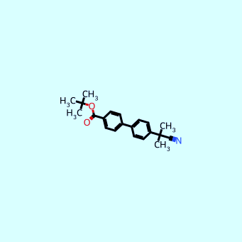 CC(C)(C)OC(=O)c1ccc(-c2ccc(C(C)(C)C#N)cc2)cc1